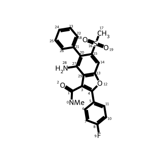 CNC(=O)c1c(-c2ccc(F)cc2)oc2cc(S(C)(=O)=O)c(-c3ccccc3)c(N)c12